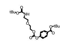 CC(C)(C)OC(=O)NCCOCCOC(=O)Oc1ccc(C(=O)OC(C)(C)C)cc1